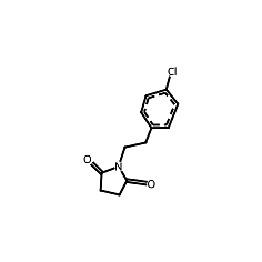 O=C1CCC(=O)N1CCc1ccc(Cl)cc1